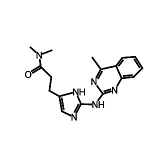 Cc1nc(Nc2ncc(CCC(=O)N(C)C)[nH]2)nc2ccccc12